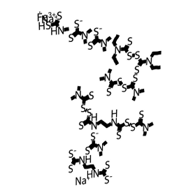 CCN(CC)C(=S)SSC(=S)N(CC)CC.CN(C)C(=S)SSC(=S)N(C)C.CN(C)C(=S)SSC(=S)NCCNC(=S)SSC(=S)N(C)C.CN(C)C(=S)[S-].CN(C)C(=S)[S-].CN(C)C(=S)[S-].CNC(=S)S.S=C([S-])NCCNC(=S)[S-].[Fe+3].[Na+].[Na+]